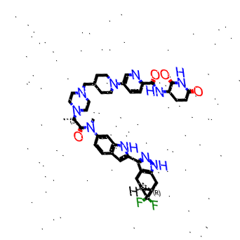 C[C@@H](C(=O)N(C)c1ccc2cc(-c3n[nH]c4c3C[C@@H]3C(F)(F)[C@]3(C)C4)[nH]c2c1)N1CCN(CC2CCN(c3ccc(C(=O)NC4CCC(=O)NC4=O)nc3)CC2)CC1